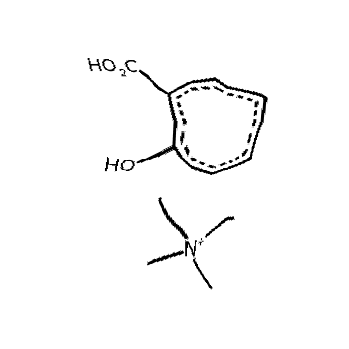 C[N+](C)(C)C.O=C(O)c1ccccc1O